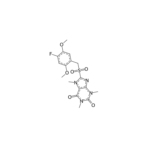 COc1cc(CS(=O)(=O)c2nc3c(c(=O)n(C)c(=O)n3C)n2C)c(OC)cc1F